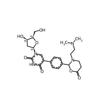 CN(C)CCN1CCC(=O)OC1c1ccc(-c2cn([C@H]3C[C@@H](O)[C@@H](CO)O3)c(=O)[nH]c2=O)cc1